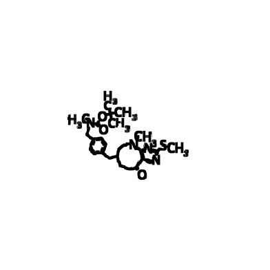 CSc1ncc2c(n1)N(C)CCC(Cc1ccc(CN(C)C(=O)OC(C)(C)C)cc1)CCC2=O